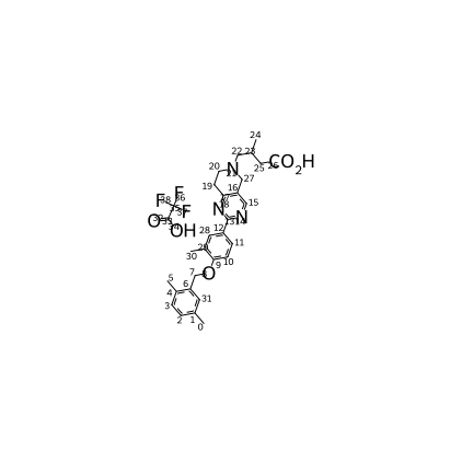 Cc1ccc(C)c(COc2ccc(-c3ncc4c(n3)CCN(CC(C)CC(=O)O)C4)cc2C)c1.O=C(O)C(F)(F)F